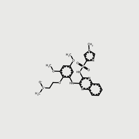 COc1cc(Nc2nc3ccccc3nc2NS(=O)(=O)c2cn(C)cn2)c(OCC[S+](C)[O-])c(OC)c1